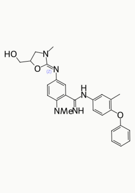 CNc1ccc(/N=C2\OC(CO)CN2C)cc1C(=N)Nc1ccc(Oc2ccccc2)c(C)c1